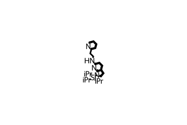 CC(C)[Si](C(C)C)(C(C)C)n1ccc2ccc(NCCc3ccccn3)nc21